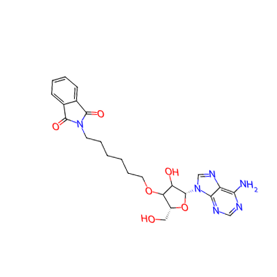 Nc1ncnc2c1ncn2[C@@H]1O[C@H](CO)C(OCCCCCCN2C(=O)c3ccccc3C2=O)C1O